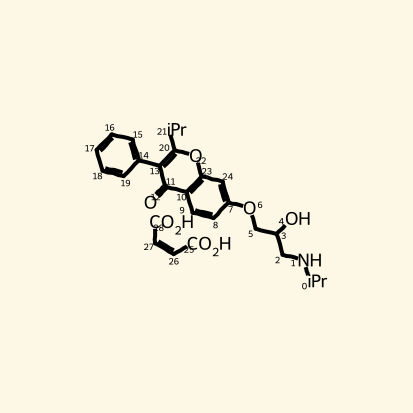 CC(C)NCC(O)COc1ccc2c(=O)c(-c3ccccc3)c(C(C)C)oc2c1.O=C(O)/C=C\C(=O)O